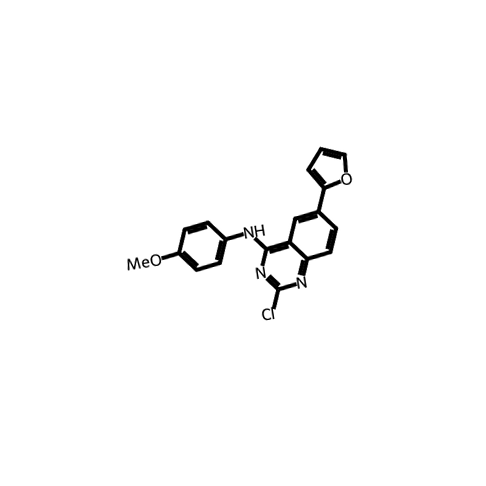 COc1ccc(Nc2nc(Cl)nc3ccc(-c4ccco4)cc23)cc1